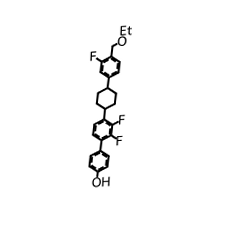 CCOCc1ccc(C2CCC(c3ccc(-c4ccc(O)cc4)c(F)c3F)CC2)cc1F